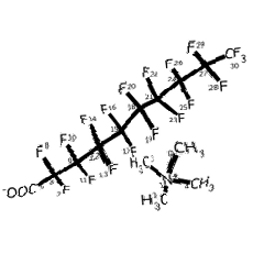 C[N+](C)(C)C.O=C([O-])C(F)(F)C(F)(F)C(F)(F)C(F)(F)C(F)(F)C(F)(F)C(F)(F)C(F)(F)C(F)(F)F